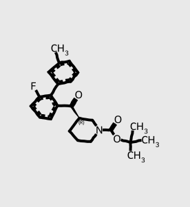 Cc1cccc(-c2c(F)cccc2C(=O)[C@@H]2CCCN(C(=O)OC(C)(C)C)C2)c1